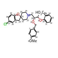 COc1ccc(CO[C@H](COc2ccccc2C(=O)O)CN2CCC3(CC2)Cc2cc(Cl)ccc2O3)cc1